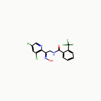 O=C(NC/C(=N\O)c1ncc(Br)cc1Cl)c1ccccc1C(F)(F)F